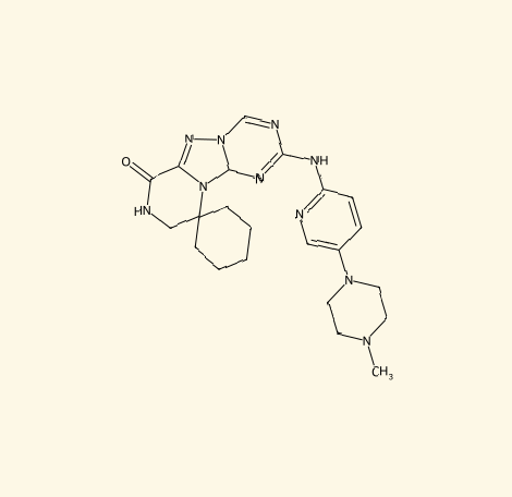 CN1CCN(c2ccc(NC3=NC4N(C=N3)N=C3C(=O)NCC5(CCCCC5)N34)nc2)CC1